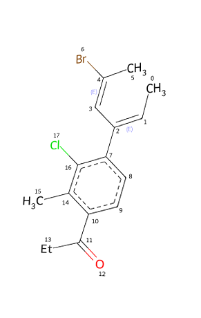 C/C=C(\C=C(/C)Br)c1ccc(C(=O)CC)c(C)c1Cl